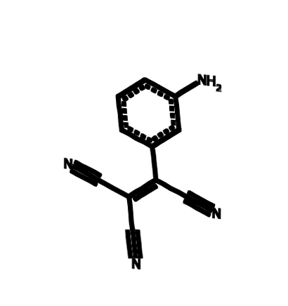 N#CC(C#N)=C(C#N)c1cccc(N)c1